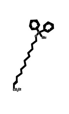 CCOC(=O)C=CCCCCCCCCCCO[Si](c1ccccc1)(c1ccccc1)C(C)(C)C